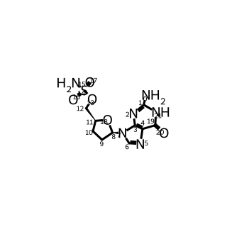 Nc1nc2c(ncn2[C@H]2CC[C@@H](COS(N)(=O)=O)O2)c(=O)[nH]1